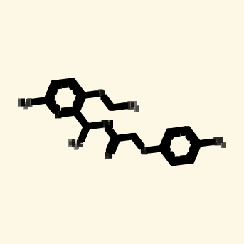 Cc1ccc(OCC(F)(F)F)c(C(C)NC(=O)COc2ccc(C(F)(F)F)cc2)n1